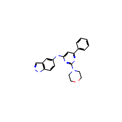 c1ccc(-c2cc(Nc3ccc4[nH]ncc4c3)nc(N3CCOCC3)n2)cc1